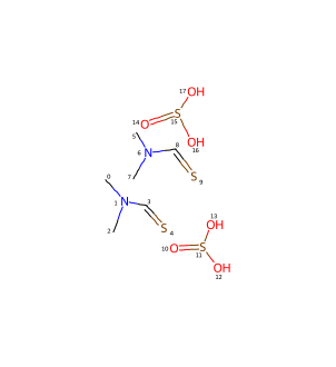 CN(C)C=S.CN(C)C=S.O=S(O)O.O=S(O)O